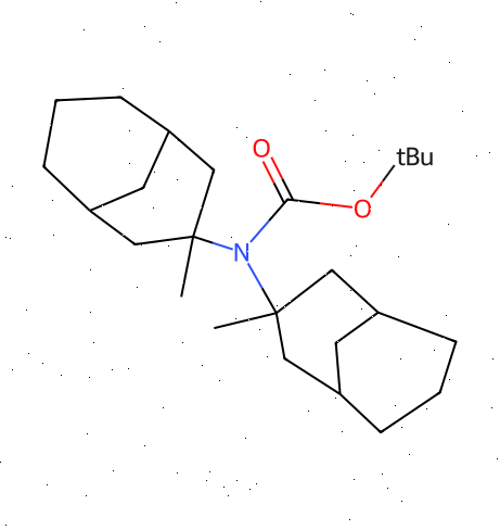 CC(C)(C)OC(=O)N(C1(C)CC2CCCC(C2)C1)C1(C)CC2CCCC(C2)C1